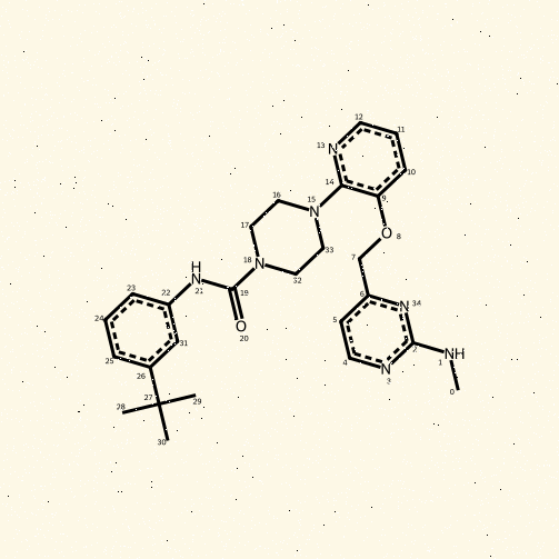 CNc1nccc(COc2cccnc2N2CCN(C(=O)Nc3cccc(C(C)(C)C)c3)CC2)n1